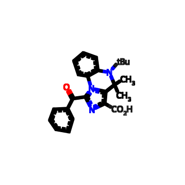 CC(C)(C)N1c2ccccc2-n2c(C(=O)c3ccccc3)nc(C(=O)O)c2C1(C)C